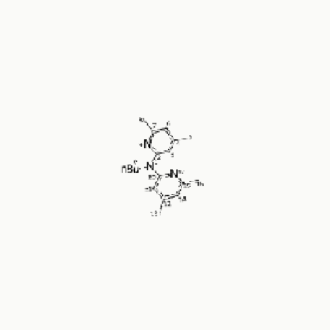 CCCCN(c1cc(C)cc(C)n1)c1cc(C)cc(C)n1